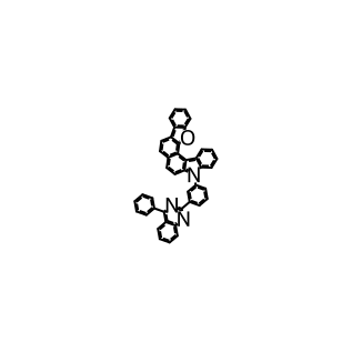 c1ccc(-c2nc(-c3cccc(-n4c5ccccc5c5c6c(ccc7c8ccccc8oc76)ccc54)c3)nc3ccccc23)cc1